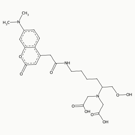 CN(C)c1ccc2c(CC(=O)NCCCCC(COO)N(CC(=O)O)CC(=O)O)cc(=O)oc2c1